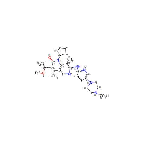 C=C(OCC)c1c(C)c2cnc(Nc3ccc(N4CCN(C(=O)O)CC4)cn3)c(C)c2n(C2CCCC2)c1=O